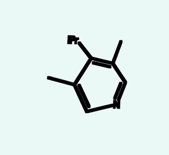 Cc1cncc(C)c1C(C)C